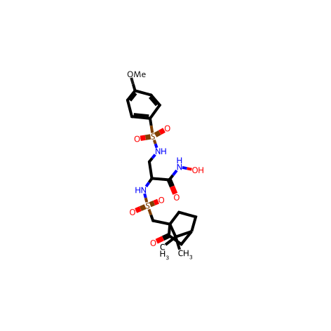 COc1ccc(S(=O)(=O)NCC(NS(=O)(=O)CC23CCC(CC2=O)C3(C)C)C(=O)NO)cc1